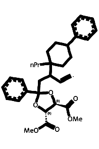 [CH]=CC(CC1(c2ccccc2)O[C@@H](C(=O)OC)[C@H](C(=O)OC)O1)C1(CCC)CCC(c2ccccc2)CC1